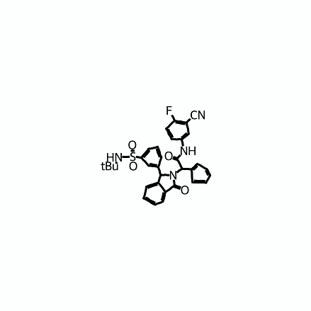 CC(C)(C)NS(=O)(=O)c1cccc(C2c3ccccc3C(=O)N2C(C(=O)Nc2ccc(F)c(C#N)c2)c2ccccc2)c1